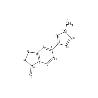 Cn1cc(-c2cc3c(cn2)C(=O)CC3)cn1